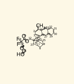 Cc1ccc(C23CC4CC(CC(COC(=O)C(F)(F)SOOO)(C4)C2)C3)c2cc3ccccc3cc12